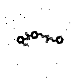 Nc1ccccc1NC(=O)c1ccc(CONC(=O)OCc2cccnc2)cc1